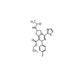 CCOC(=O)C1=C2CC(N[S+](C)[O-])CN2C(c2nccs2)=NC1c1ccc(F)cc1